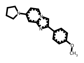 COc1ccc(-c2cn3ccc(N4CCCC4)cc3n2)cc1